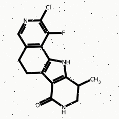 CC1CNC(=O)c2c1[nH]c1c2CCc2cnc(Cl)c(F)c2-1